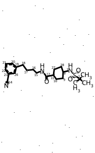 CC(C)(C)S(=O)(=O)NC1CCC(C(=O)NCCCCc2cccc(C#N)c2)CC1